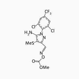 COC(=O)ON=Cc1nn(-c2c(Cl)cc(C(F)(F)F)cc2Cl)c(N)c1SC